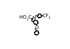 O=C(O)c1cc2cc(OCc3ccccc3)ccc2n1Cc1ccc(C(F)(F)F)cc1